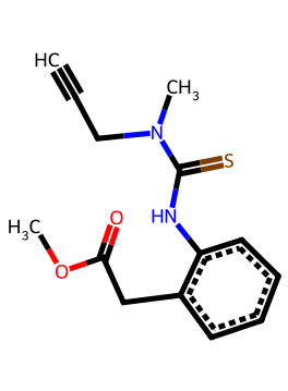 C#CCN(C)C(=S)Nc1ccccc1CC(=O)OC